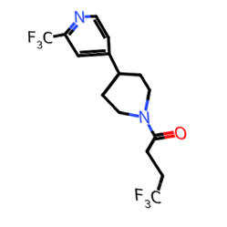 O=C(CCC(F)(F)F)N1CCC(c2ccnc(C(F)(F)F)c2)CC1